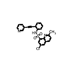 Cc1ccc2cc(Cl)cc(S(=O)(=O)Nc3ccccc3C#Cc3cccnc3)c2n1